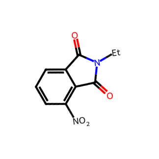 CCN1C(=O)c2cccc([N+](=O)[O-])c2C1=O